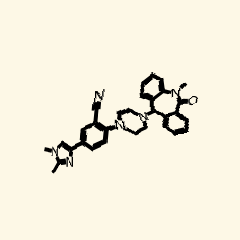 Cc1nc(-c2ccc(N3CCN(C4c5ccccc5C(=O)N(C)c5ccccc54)CC3)c(C#N)c2)cn1C